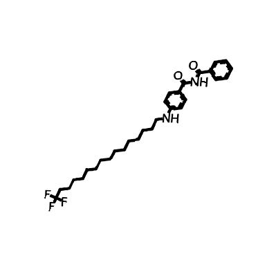 O=C(NC(=O)c1ccc(NCCCCCCCCCCCCCCCC(F)(F)F)cc1)c1ccccc1